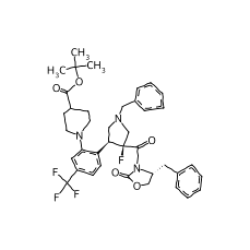 CC(C)(C)OC(=O)C1CCN(c2cc(C(F)(F)F)ccc2[C@H]2CN(Cc3ccccc3)C[C@]2(F)C(=O)N2C(=O)OC[C@H]2Cc2ccccc2)CC1